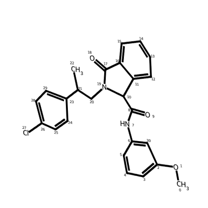 COc1cccc(NC(=O)C2c3ccccc3C(=O)N2CC(C)c2ccc(Cl)cc2)c1